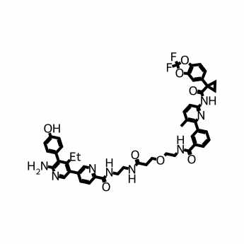 CCc1c(-c2ccc(C(=O)NCCNC(=O)CCOCCNC(=O)c3cccc(-c4nc(NC(=O)C5(c6ccc7c(c6)OC(F)(F)O7)CC5)ccc4C)c3)nc2)cnc(N)c1-c1ccc(O)cc1